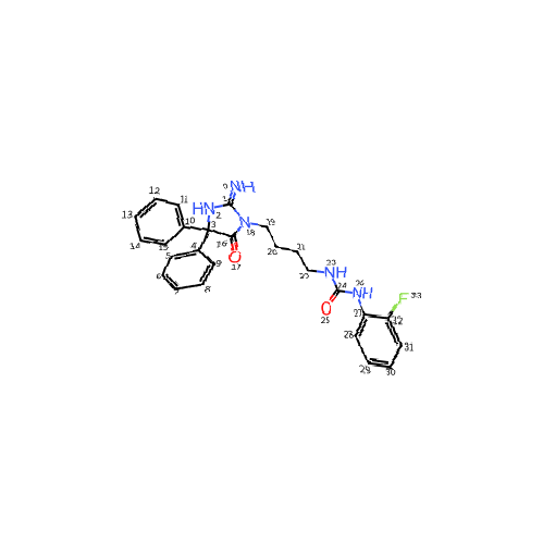 N=C1NC(c2ccccc2)(c2ccccc2)C(=O)N1CCCCNC(=O)Nc1ccccc1F